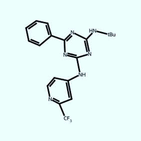 CC(C)(C)Nc1nc(Nc2ccnc(C(F)(F)F)c2)nc(-c2ccccc2)n1